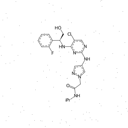 CC(C)NC(=O)Cn1cc(Nc2ncc(Cl)c(N[C@H](CO)c3ccccc3F)n2)cn1